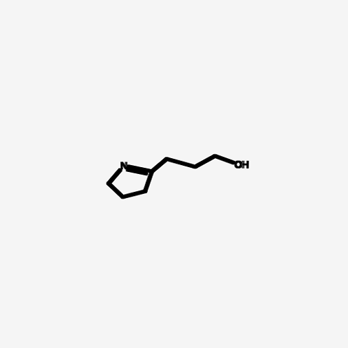 OCCCC1=NCCC1